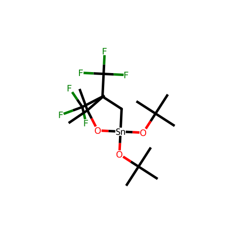 CC(C)(C)[O][Sn]([CH2]C(C(F)(F)F)C(F)(F)F)([O]C(C)(C)C)[O]C(C)(C)C